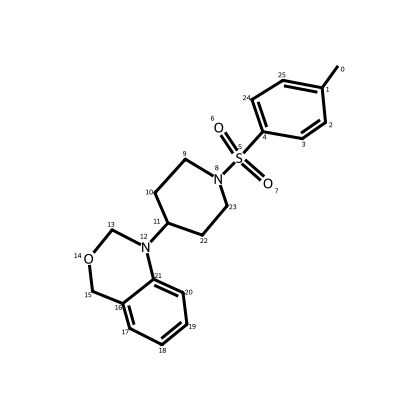 Cc1ccc(S(=O)(=O)N2CCC(N3COCc4ccccc43)CC2)cc1